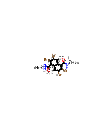 CCCCCCNC(=O)c1c(Br)c(Br)c(C(=O)O)c2c(C(=O)NCCCCCC)c(Br)c(Br)c(C(=O)O)c12